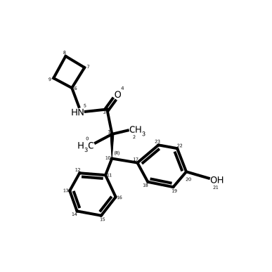 CC(C)(C(=O)NC1CCC1)[C@H](c1ccccc1)c1ccc(O)cc1